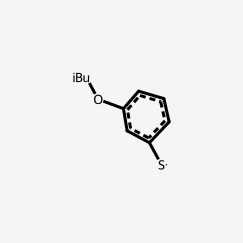 CCC(C)Oc1cccc([S])c1